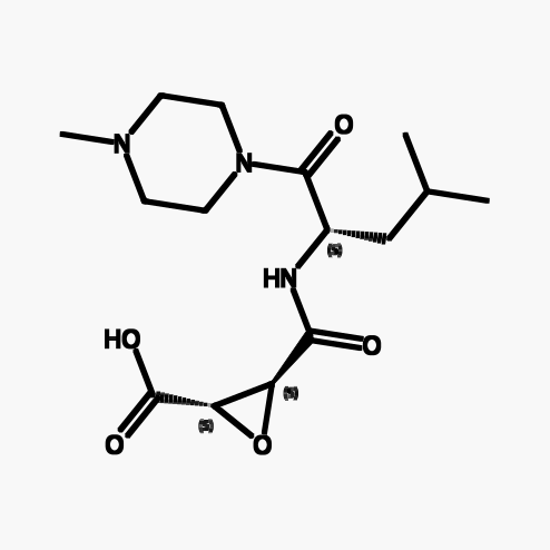 CC(C)C[C@H](NC(=O)[C@H]1O[C@@H]1C(=O)O)C(=O)N1CCN(C)CC1